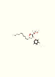 COC(=O)C(C(=O)OC)=C(CCC[C@H](C)CCC[C@H](C)CCCC(C)C)Oc1cc(C)c(OC)c(C)c1C